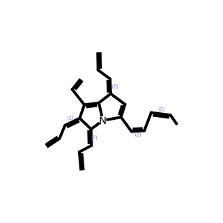 C=C/C=c1/c(C=C)c2/c(=C\C=C)cc(/C=C\C=C/C)n2/c1=C/C=C